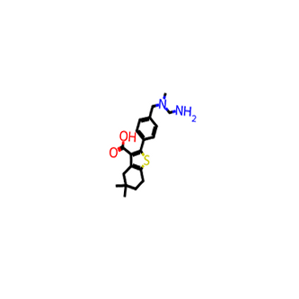 CN(CN)Cc1ccc(-c2sc3c(c2C(=O)O)CC(C)(C)CC3)cc1